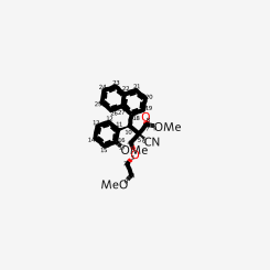 COCCOC[C@@](C#N)(C(=O)OC)[C@@H](c1ccccc1OC)c1cccc2ccccc12